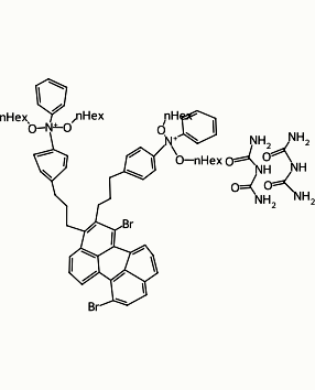 CCCCCCO[N+](OCCCCCC)(c1ccccc1)c1ccc(CCCc2c(CCCc3ccc([N+](OCCCCCC)(OCCCCCC)c4ccccc4)cc3)c3cccc4c5c(Br)ccc6cccc(c(c2Br)c34)c65)cc1.NC(=O)NC(N)=O.NC(=O)NC(N)=O